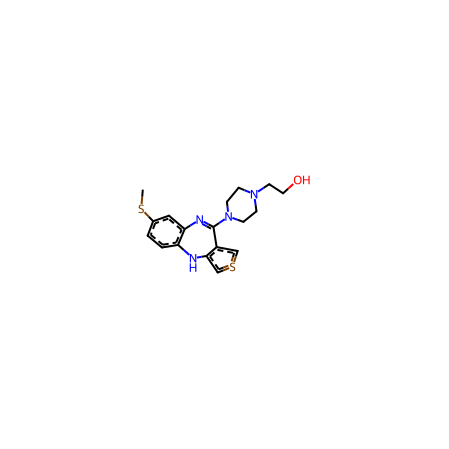 CSc1ccc2c(c1)N=C(N1CCN(CCO)CC1)c1cscc1N2